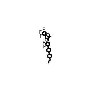 CCCC1CCC(C2CCC(c3ccc(OCC(F)(F)Oc4cc(F)c(F)c(F)c4)c(F)c3F)CC2)CC1